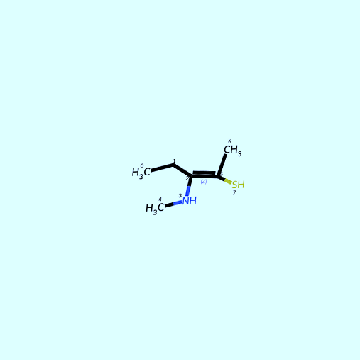 CC/C(NC)=C(\C)S